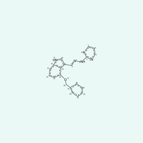 C(=N\Nc1ncccn1)/c1c[nH]c2cccc(OCc3ccccc3)c12